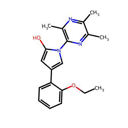 CCOc1ccccc1-c1cc(O)n(-c2nc(C)c(C)nc2C)c1